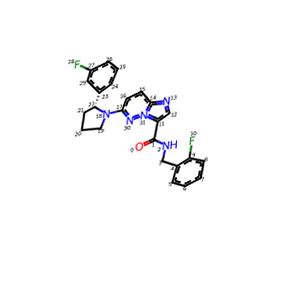 O=C(NCc1ccccc1F)c1cnc2ccc(N3CCC[C@@H]3c3cccc(F)c3)nn12